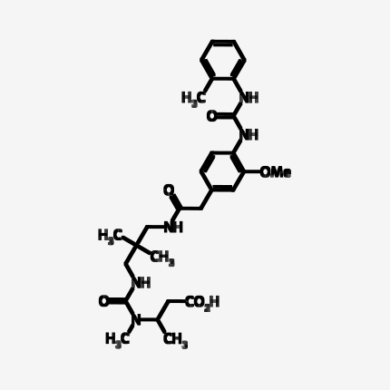 COc1cc(CC(=O)NCC(C)(C)CNC(=O)N(C)C(C)CC(=O)O)ccc1NC(=O)Nc1ccccc1C